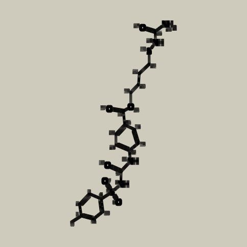 Cc1ccc(S(=O)(=O)NC(=O)Nc2ccc(C(=O)OCCCCSNC(N)=O)cc2)cc1